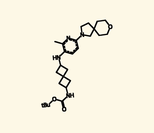 Cc1nc(N2CCC3(CCOCC3)C2)ccc1NC1CC2(CC(NC(=O)OC(C)(C)C)C2)C1